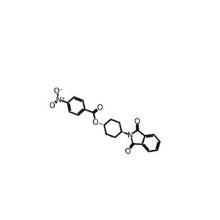 O=C(O[C@H]1CC[C@H](N2C(=O)c3ccccc3C2=O)CC1)c1ccc([N+](=O)[O-])cc1